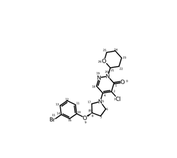 O=c1c(Cl)c(N2CC[C@@H](Oc3cccc(Br)c3)C2)cnn1C1CCCCO1